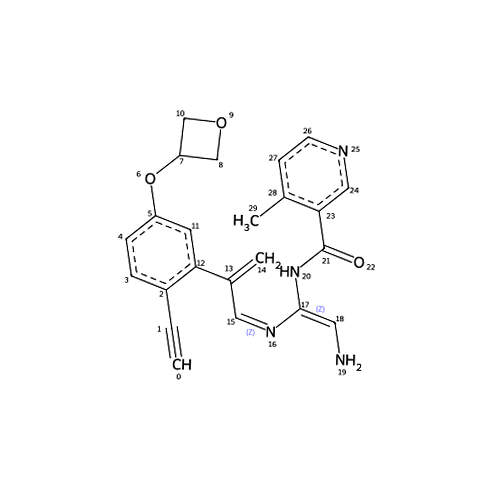 C#Cc1ccc(OC2COC2)cc1C(=C)/C=N\C(=C/N)NC(=O)c1cnccc1C